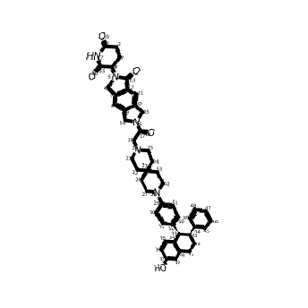 O=C1CCC(N2Cc3cc4c(cc3C2=O)CN(C(=O)CN2CCC3(CC2)CCN(c2ccc([C@@H]5c6ccc(O)cc6CC[C@@H]5c5ccccc5)cc2)CC3)C4)C(=O)N1